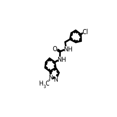 Cn1ncc2c(NC(=O)NCc3ccc(Cl)cc3)cccc21